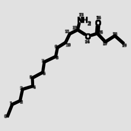 CCCCCCCCCCCCC(N)OC(=O)CCC